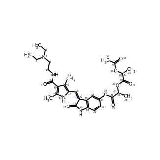 CCN(CC)CCNC(=O)c1c(C)[nH]c(/C=C2\C(=O)Nc3ccc(OC(=O)[C@H](C)OC(=O)[C@H](C)OC(C)=O)cc32)c1C